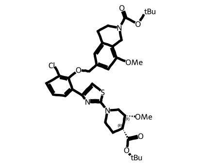 COc1cc(COc2c(Cl)cccc2-c2csc(N3CC[C@@H](C(=O)OC(C)(C)C)[C@@H](OC)C3)n2)cc2c1CN(C(=O)OC(C)(C)C)CC2